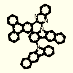 c1ccc2cc3c(cc2c1)c1ccccc1n3-c1cccc2c1c1cc3ccccc3cc1n2-c1nc2ccccc2nc1-c1ccc2c3ccccc3c3ccccc3c2c1